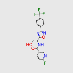 O=C(N[C@@H](CO)c1nc(-c2ccc(C(F)(F)F)cc2)no1)c1ccc(F)nc1